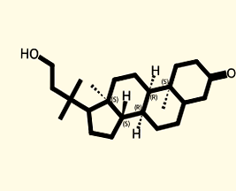 CC(C)(CCO)C1CC[C@H]2[C@@H]3CCC4CC(=O)CC[C@]4(C)[C@@H]3CC[C@]12C